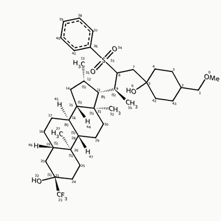 COCC1CCC(O)(CC([C@@H](C)[C@H]2[C@@H](C)C[C@H]3[C@@H]4CC[C@H]5C[C@](O)(C(F)(F)F)CC[C@]5(C)[C@H]4CC[C@]23C)S(=O)(=O)c2ccccc2)CC1